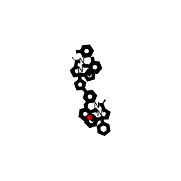 Cc1cc(C2CCC(C3(C4CCCC4)C=CC4[C@H](C)N(c5ccccc5C)C(c5c(C)cccc5C)N43)C2)ccc1N1C(c2c(C)cccc2C)N2C(C=CC2(c2ccccc2)C2CCCCC2)[C@@H]1C